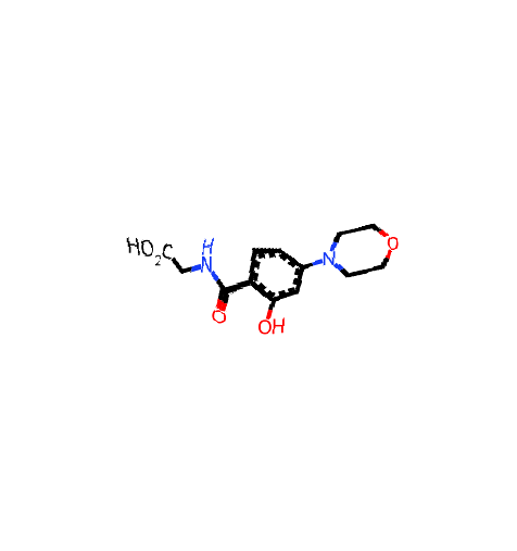 O=C(O)CNC(=O)c1ccc(N2CCOCC2)cc1O